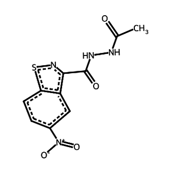 CC(=O)NNC(=O)c1nsc2ccc([N+](=O)[O-])cc12